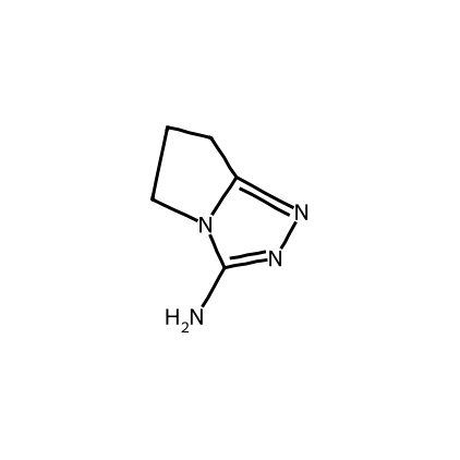 Nc1nnc2n1CCC2